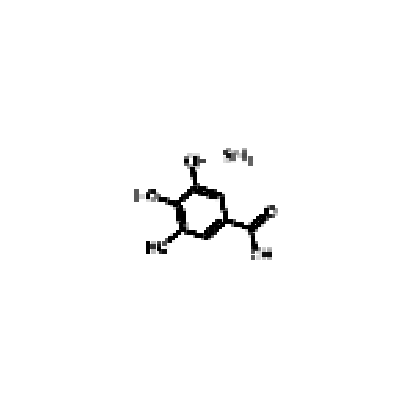 O=C(O)c1cc(O)c(O)c(O)c1.[SrH2]